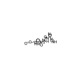 COCCOCCOc1cccc2c1[nH]c(=O)n2-c1nc(C(=O)Nc2cnccc2N2CCNCC2)cs1